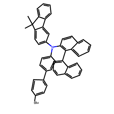 CC(C)(C)c1ccc(-c2ccc(N(c3ccc4c(c3)-c3ccccc3C4(C)C)c3ccc4ccccc4c3-c3cccc4ccccc34)cc2)cc1